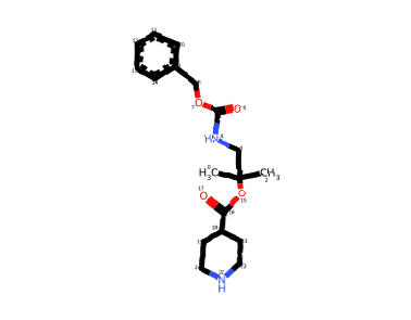 CC(C)(CNC(=O)OCc1ccccc1)OC(=O)C1CCNCC1